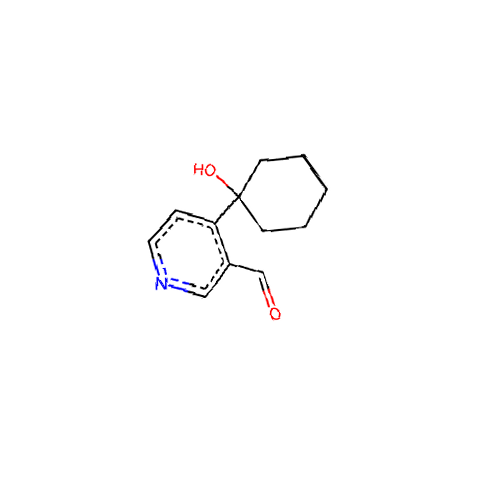 O=Cc1cnccc1C1(O)CCCCC1